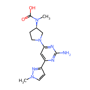 CN(C(=O)O)[C@@H]1CCN(c2cc(-c3ccn(C)n3)nc(N)n2)C1